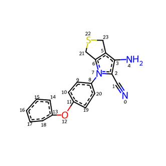 N#Cc1c(N)c2c(n1-c1ccc(Oc3ccccc3)cc1)CSC2